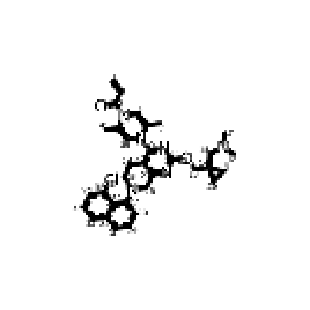 C=CC(=O)N1C=C(C)N(c2nc(OCC3(CN(C)C)CC3)nc3c2CCN(c2cccc4cccc(Cl)c24)C3)C=C1C